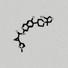 Cn1ccc(C2CC2C(=O)Nc2cc3cc(C4CCN(C5(C)COCC5O)CC4)c(Cl)cc3cn2)n1